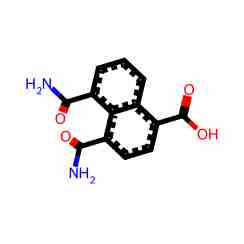 NC(=O)c1cccc2c(C(=O)O)ccc(C(N)=O)c12